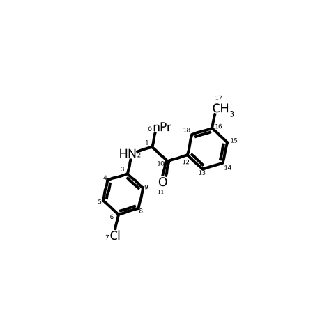 CCCC(Nc1ccc(Cl)cc1)C(=O)c1cccc(C)c1